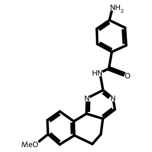 COc1ccc2c(c1)CCc1cnc(NC(=O)c3ccc(N)cc3)nc1-2